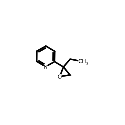 CCC1(c2ccccn2)CO1